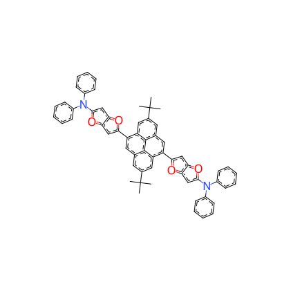 CC(C)(C)c1cc2cc(-c3cc4oc(N(c5ccccc5)c5ccccc5)cc4o3)c3cc(C(C)(C)C)cc4cc(-c5cc6oc(N(c7ccccc7)c7ccccc7)cc6o5)c(c1)c2c43